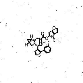 Cc1cccc(-c2sccc2C(=O)N2C[C@@H]3C[C@@H]3[C@H]2CNC(=O)Oc2cc3occc3n2C)c1